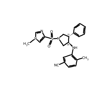 Cc1ccc(C#N)cc1N[C@H]1CN(S(=O)(=O)c2cn(C)cn2)C[C@@H]1c1ccccc1